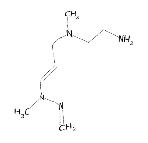 C=NN(C)/C=C/CN(C)CCN